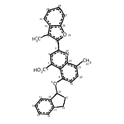 Cc1c(-c2cc(C(=O)O)c3c(OC4CCc5ccccc54)ccc(C)c3n2)oc2ccccc12